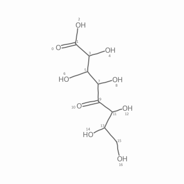 O=C(O)C(O)C(O)C(O)C(=O)C(O)C(O)CO